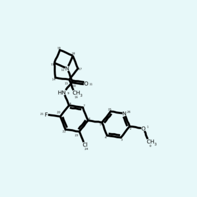 COc1ccc(-c2cc(NC(=O)N3C4CC(C)CC3C4)c(F)cc2Cl)cn1